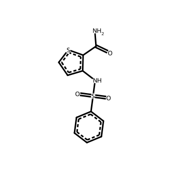 NC(=O)c1sccc1NS(=O)(=O)c1ccccc1